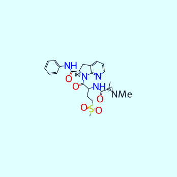 CN[C@@H](C)C(=O)NC(CCS(C)(=O)=O)C(=O)N1c2ncccc2C[C@@H]1C(=O)Nc1ccccc1